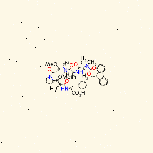 CC[C@H](C)C([C@@H](CC(=O)N1CCC[C@H]1[C@H](OC)[C@@H](C)C(=O)N[C@@H](Cc1ccccc1)C(=O)O)OC)N(C)C(=O)[C@@H](NC(=O)C(C)(C)N(C)C(=O)OCC1c2ccccc2-c2ccccc21)C(C)C